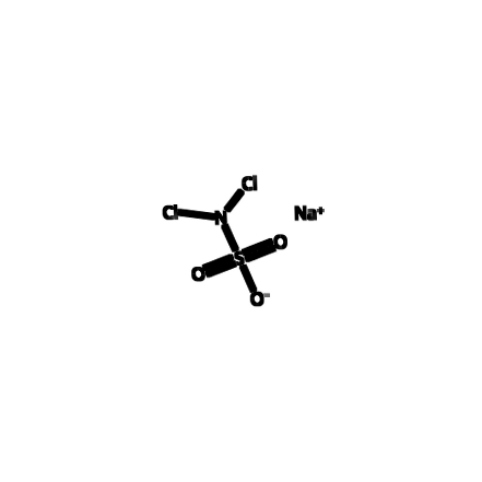 O=S(=O)([O-])N(Cl)Cl.[Na+]